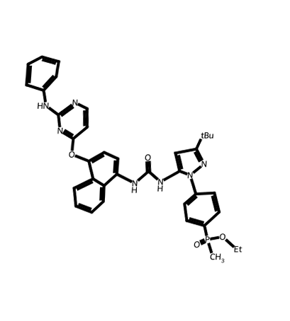 CCOP(C)(=O)c1ccc(-n2nc(C(C)(C)C)cc2NC(=O)Nc2ccc(Oc3ccnc(Nc4ccccc4)n3)c3ccccc23)cc1